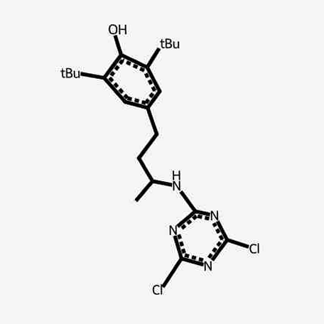 CC(CCc1cc(C(C)(C)C)c(O)c(C(C)(C)C)c1)Nc1nc(Cl)nc(Cl)n1